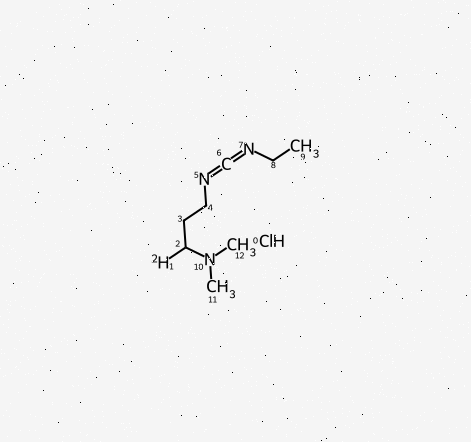 Cl.[2H]C(CCN=C=NCC)N(C)C